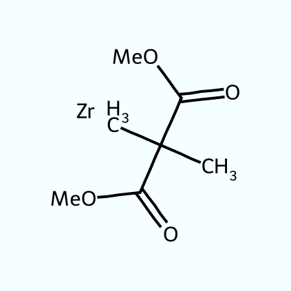 COC(=O)C(C)(C)C(=O)OC.[Zr]